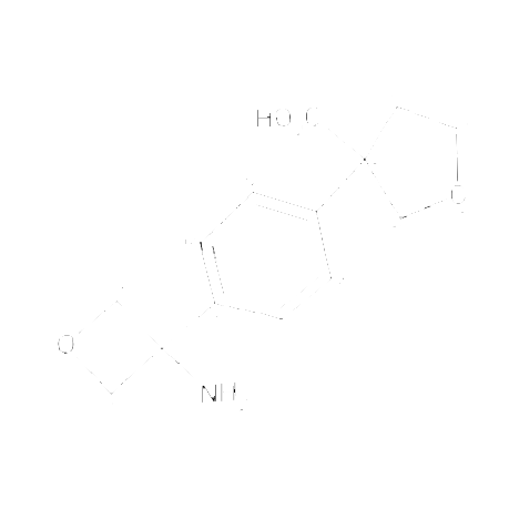 NC1(c2ccc(C3(C(=O)O)CCOC3)cc2)COC1